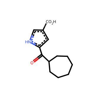 O=C(O)c1c[nH]c(C(=O)C2CCCCCC2)c1